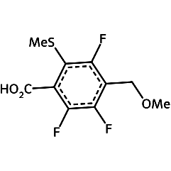 COCc1c(F)c(F)c(C(=O)O)c(SC)c1F